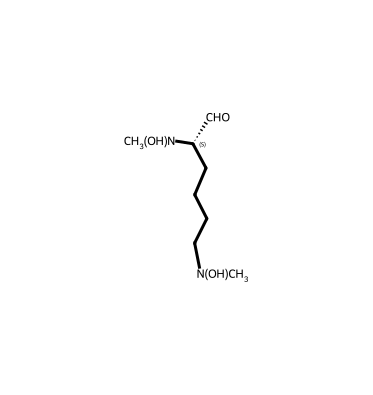 CN(O)CCCC[C@@H](C=O)N(C)O